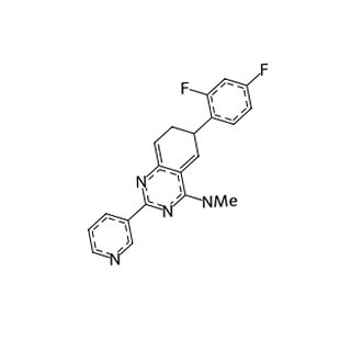 CNc1nc(-c2cccnc2)nc2c1=CC(c1ccc(F)cc1F)CC=2